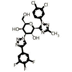 Cc1nc([C@@H]2O[C@H](CO)[C@H](O)[C@H](n3cc(-c4cc(F)c(F)c(F)c4)nn3)[C@H]2O)n(-c2ccc(Cl)c(Cl)c2)n1